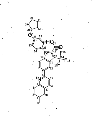 CC1CCc2nc(-c3ccc4c(c3)c(C(F)(F)F)c(C(=O)O)n4-c3ccc(OC4CCCC4)cc3)ccc2C1